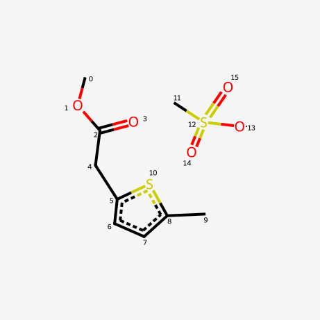 COC(=O)Cc1ccc(C)s1.CS([O])(=O)=O